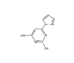 Oc1cc(-n2cccn2)nc(O)n1